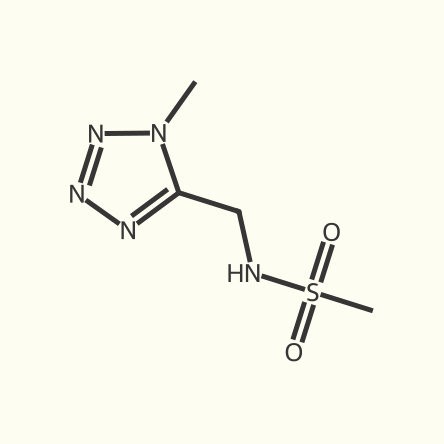 Cn1nnnc1CNS(C)(=O)=O